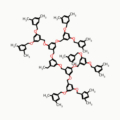 CCc1cc(OCc2cc(OCc3cc(OCc4cc(C)cc(C)c4)cc(OCc4cc(C)cc(C)c4)c3)cc(OCc3cc(OCc4cc(C)cc(C)c4)cc(OCc4cc(C)cc(C)c4)c3)c2)cc(OCc2cc(OCc3cc(OCc4cc(C)cc(C)c4)cc(OCc4cc(C)cc(C)c4)c3)cc(OCc3cc(OCc4cc(C)cc(C)c4)cc(OCc4cc(C)cc(C)c4)c3)c2)c1